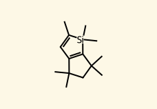 CC1=CC2=C(C(C)(C)CC2(C)C)[Si]1(C)C